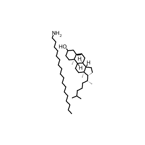 CC(C)CCC[C@@H](C)[C@H]1CC[C@H]2[C@@H]3CC=C4CC(O)CC[C@]4(C)[C@H]3CC[C@]12C.CCCCCCCCCCCCCCCCCCN